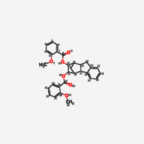 COc1ccccc1C(=O)OC1C2CC(C1OC(=O)c1ccccc1OC)C1c3ccccc3CC21